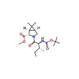 CC[C@@H](C)[C@H](NC(=O)OC(C)(C)C)C(=O)N1C[C@H]2[C@@H]([C@H]1C(=O)OC)C2(C)C